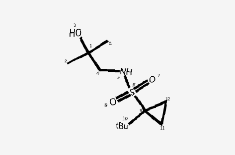 CC(C)(O)CNS(=O)(=O)C1(C(C)(C)C)CC1